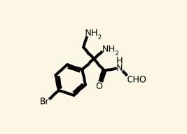 NCC(N)(C(=O)NC=O)c1ccc(Br)cc1